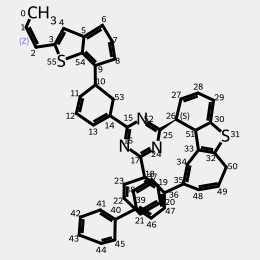 C/C=C\c1cc2cccc(C3C=CC=C(c4nc(-c5ccccc5)nc([C@H]5C=CC=C6SC7=C(C=C(c8ccc(-c9ccccc9)cc8)C=CC7)C65)n4)C3)c2s1